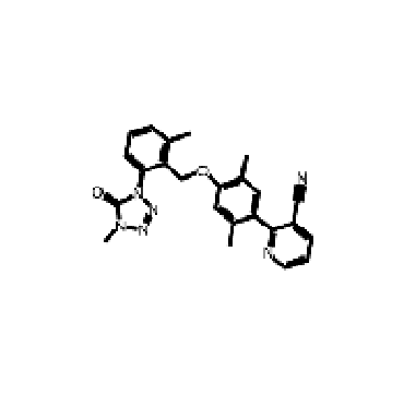 Cc1cc(-c2ncccc2C#N)c(C)cc1OCc1c(C)cccc1-n1nnn(C)c1=O